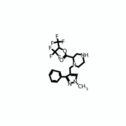 Cn1cc(CN2CCNCC2C(=O)OC(C(F)(F)F)C(F)(F)F)c(-c2ccccc2)n1